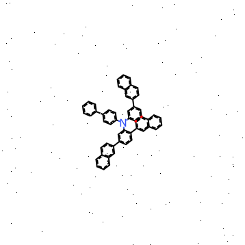 c1ccc(-c2ccc(N(c3cccc(-c4ccc5ccccc5c4)c3)c3cc(-c4ccc5ccccc5c4)ccc3-c3ccc4ccccc4c3)cc2)cc1